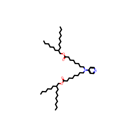 CCCCCCCCC(CCCCCC)COC(=O)CCCCCCCN(CCCCCCCC(=O)OCC(CCCCCC)CCCCCCCC)c1ccncc1